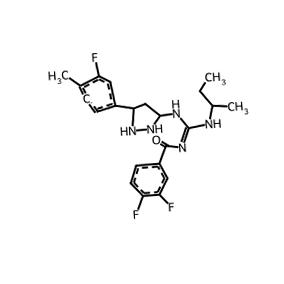 CCC(C)N/C(=N/C(=O)c1ccc(F)c(F)c1)NC1CC(c2ccc(C)c(F)c2)NN1